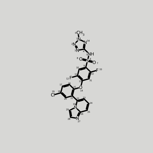 Cn1nnc(NS(=O)(=O)c2cc(F)c(Oc3ccc(Cl)cc3-c3cccc4nccn34)cc2F)n1